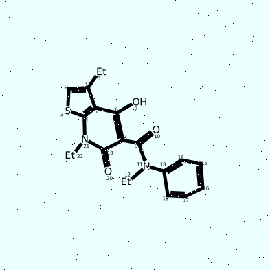 CCc1csc2c1c(O)c(C(=O)N(CC)c1ccccc1)c(=O)n2CC